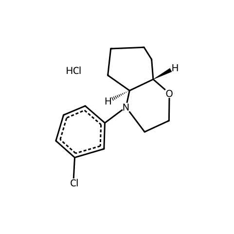 Cl.Clc1cccc(N2CCO[C@H]3CCCC[C@@H]32)c1